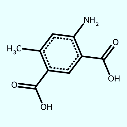 Cc1cc(N)c(C(=O)O)cc1C(=O)O